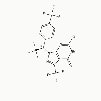 CC(C)(C)[C@@H](c1ccc(C(F)(F)F)cc1)n1nc(C(F)(F)F)c2c(=O)[nH]c(O)nc21